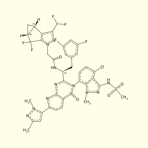 Cc1cc(-c2ccc3c(=O)n(-c4ccc(Cl)c5c(NS(C)(=O)=O)nn(C)c45)c([C@H](Cc4cc(F)cc(F)c4)NC(=O)Cn4nc(C(F)F)c5c4C(F)(F)[C@@H]4C[C@H]54)nc3n2)n(C)n1